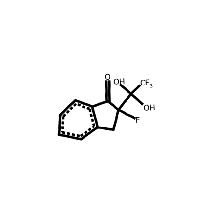 O=C1c2ccccc2CC1(F)C(O)(O)C(F)(F)F